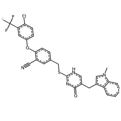 Cn1cc(Cc2c[nH]c(SCc3ccc(Oc4ccc(Cl)c(C(F)(F)F)c4)c(C#N)c3)nc2=O)c2ccccc21